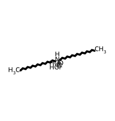 CCCCCCCCCCCCCCCCNCCCCCCCCCCCCCCCC.O=P(O)(O)F